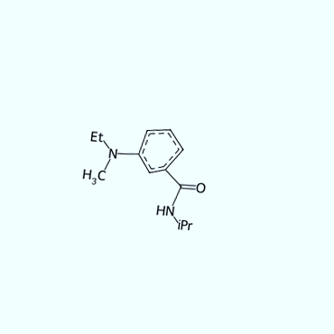 CCN(C)c1cccc(C(=O)NC(C)C)c1